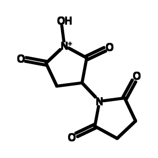 O=C1CCC(=O)N1C1CC(=O)[N+](O)C1=O